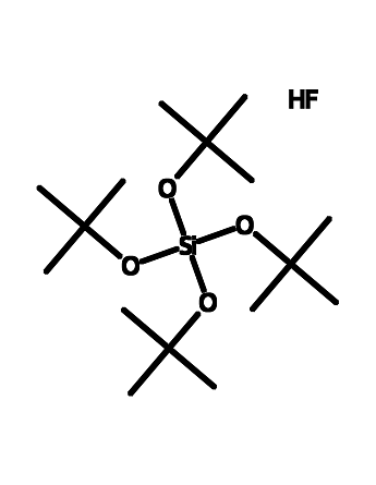 CC(C)(C)O[Si](OC(C)(C)C)(OC(C)(C)C)OC(C)(C)C.F